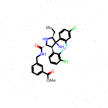 COC(=O)c1cccc(CNC(=O)[C@@H]2N[C@@H](CC(C)(C)C)[C@](N)(c3ccc(Cl)cc3F)[C@H]2c2cccc(Cl)c2F)c1